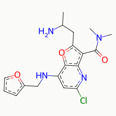 CC(N)Cc1oc2c(NCc3ccco3)cc(Cl)nc2c1C(=O)N(C)C